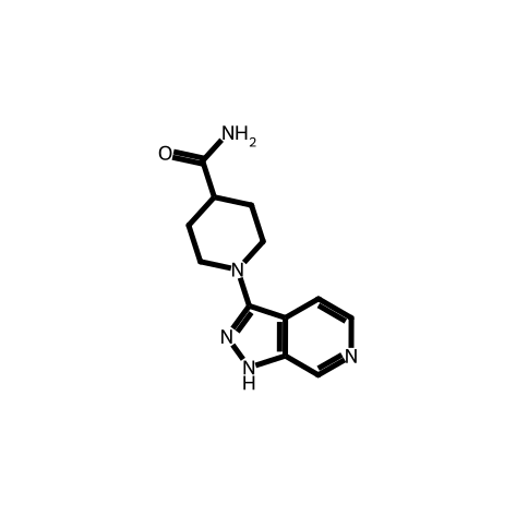 NC(=O)C1CCN(c2n[nH]c3cnccc23)CC1